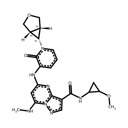 CNc1cc(Nc2cccn([C@@H]3[C@@H]4COC[C@@H]43)c2=O)nc2c(C(=O)NC3CC3OC)cnn12